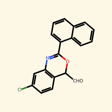 O=CC1OC(c2cccc3ccccc23)=Nc2cc(Cl)ccc21